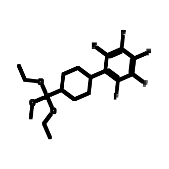 CCO[Si](OC)(OCC)C1CCC(c2c(F)c(F)c(F)c(F)c2F)CC1